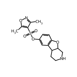 Cc1noc(C)c1S(=O)(=O)Oc1ccc2c(c1)C1CCNCC1O2